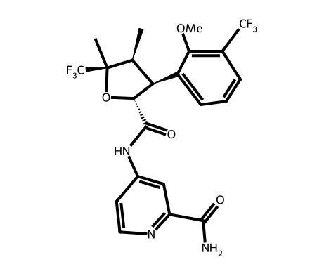 COc1c([C@H]2[C@H](C(=O)Nc3ccnc(C(N)=O)c3)O[C@@](C)(C(F)(F)F)[C@H]2C)cccc1C(F)(F)F